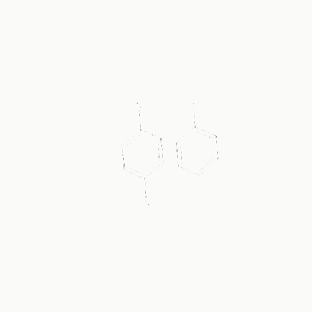 Cc1ccccc1.Nc1ccc(N)cc1